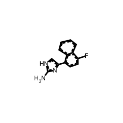 Nc1nc(-c2ccc(F)c3ccccc23)c[nH]1